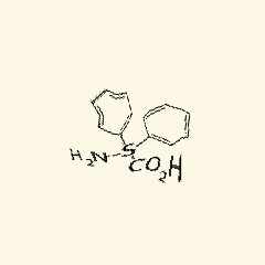 NS(C(=O)O)(c1ccccc1)c1ccccc1